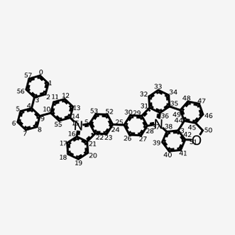 c1ccc(-c2ccccc2-c2cccc(-n3c4ccccc4c4cc(-c5ccc6c(c5)c5cccc7c5n6-c5cccc6c5-c5c(cccc5-7)CO6)ccc43)c2)cc1